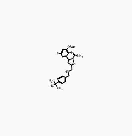 COc1cc(F)cc2c1nc(N)n1nc(CNCc3ccc(C(C)(C)O)cc3)nc21